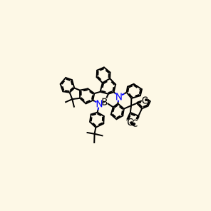 CC(C)(C)c1ccc(N2B3c4cccc5c4N(c4ccccc4C54c5ccccc5-c5ccccc54)c4cc5ccccc5c(c43)-c3cc4c(cc32)C(C)(C)c2ccccc2-4)cc1